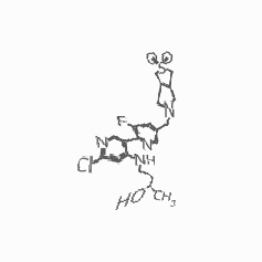 C[C@@H](O)CCNc1cc(Cl)ncc1-c1ncc(CN2CC3CS(=O)(=O)CC3C2)cc1F